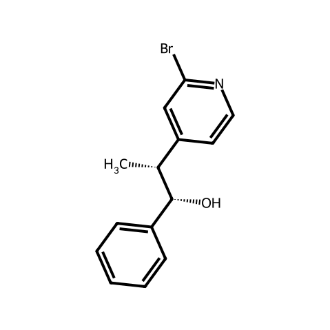 C[C@H](c1ccnc(Br)c1)[C@H](O)c1ccccc1